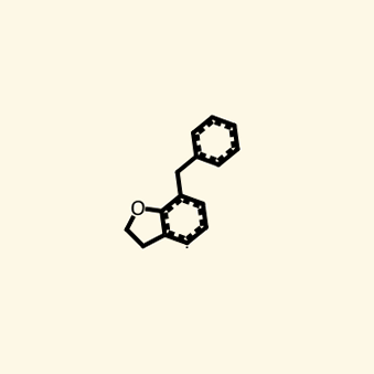 [c]1ccc(Cc2ccccc2)c2c1CCO2